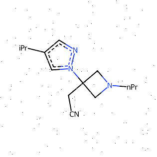 CCCN1CC(CC#N)(n2cc(C(C)C)cn2)C1